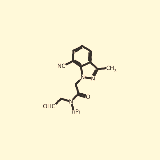 CCCN(CC=O)C(=O)Cn1nc(C)c2cccc(C#N)c21